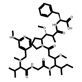 CCC(C)C(C(CC(=O)N1CCCC1[C@H](OC)C(C)C(=O)N[C@@H](Cc1ccccc1)C(=O)O)OC)N(C)C(=O)CNC(=O)C(C(C)C)N(C)Cc1ccnc(NC)c1